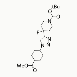 COC(=O)C1CCC(N2CC(C3(F)CCN(C(=O)OC(C)(C)C)CC3)N=N2)CC1